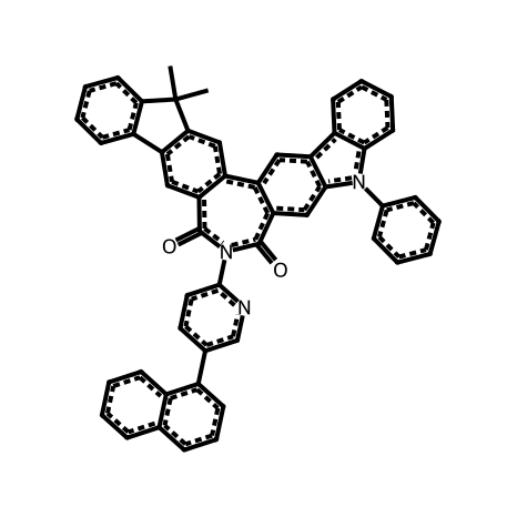 CC1(C)c2ccccc2-c2cc3c(=O)n(-c4ccc(-c5cccc6ccccc56)cn4)c(=O)c4cc5c(cc4c3cc21)c1ccccc1n5-c1ccccc1